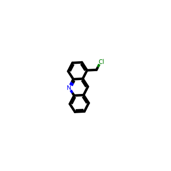 ClCc1cccc2nc3ccccc3cc12